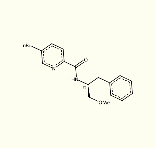 CCCCc1ccc(C(=O)N[C@H](COC)Cc2ccccc2)nc1